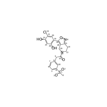 CS(=O)(=O)c1cccc(CC(=O)N2CCc3noc(-c4cc(Cl)c(O)cc4O)c3C2)c1